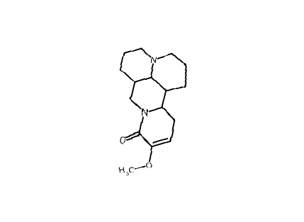 COC1=CCC2C3CCCN4CCCC(CN2C1=O)C34